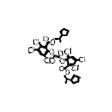 CC(COC(=O)c1c(Cl)c(Cl)cc(Cl)c1OC(=O)C(=O)Oc1c(Cl)cc(Cl)c(Cl)c1C(=O)OCC(C)C1CCCC1)C1CCCC1